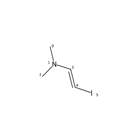 CN(C)C=CI